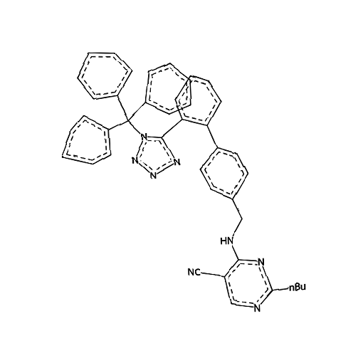 CCCCc1ncc(C#N)c(NCc2ccc(-c3ccccc3-c3nnnn3C(c3ccccc3)(c3ccccc3)c3ccccc3)cc2)n1